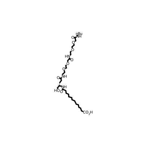 CCCCNC(=O)COCCOCCNC(=O)COCCOCCNC(=O)CC[C@@H](CO)NC(=O)CCCCCCCCCCCCC(=O)O